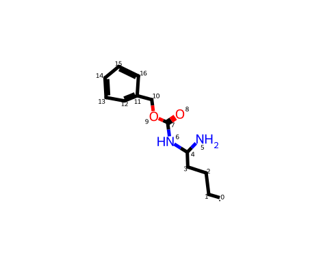 [CH2]CCCC(N)NC(=O)OCc1ccccc1